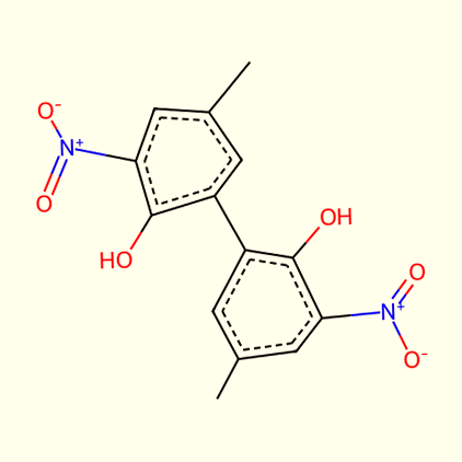 Cc1cc(-c2cc(C)cc([N+](=O)[O-])c2O)c(O)c([N+](=O)[O-])c1